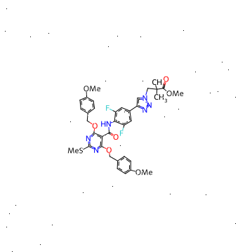 COC(=O)C(C)(C)Cn1cc(-c2cc(F)c(NC(=O)c3c(OCc4ccc(OC)cc4)nc(SC)nc3OCc3ccc(OC)cc3)c(F)c2)nn1